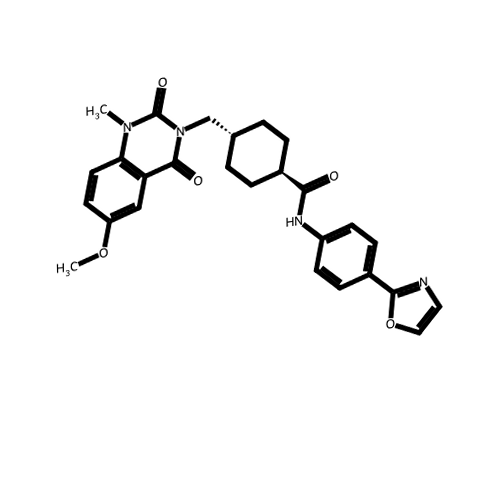 COc1ccc2c(c1)c(=O)n(C[C@H]1CC[C@H](C(=O)Nc3ccc(-c4ncco4)cc3)CC1)c(=O)n2C